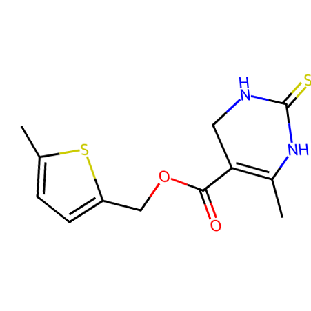 CC1=C(C(=O)OCc2ccc(C)s2)CNC(=S)N1